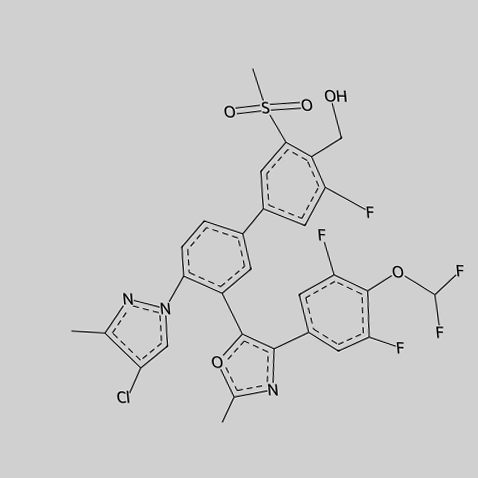 Cc1nc(-c2cc(F)c(OC(F)F)c(F)c2)c(-c2cc(-c3cc(F)c(CO)c(S(C)(=O)=O)c3)ccc2-n2cc(Cl)c(C)n2)o1